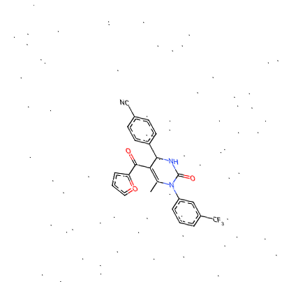 CC1=C(C(=O)c2ccco2)C(c2ccc(C#N)cc2)NC(=O)N1c1cccc(C(F)(F)F)c1